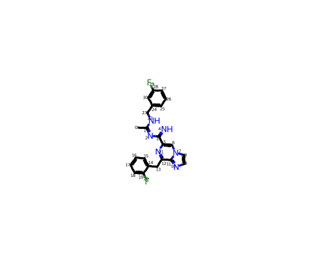 C/C(=N/C(=N)c1cn2ccnc2c(Cc2ccccc2F)n1)NCc1cccc(F)c1